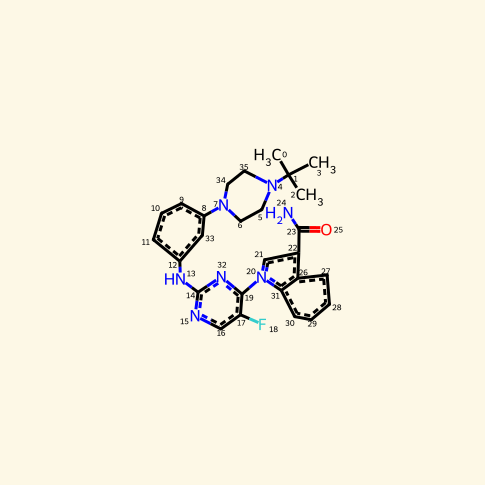 CC(C)(C)N1CCN(c2cccc(Nc3ncc(F)c(-n4cc(C(N)=O)c5ccccc54)n3)c2)CC1